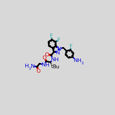 CC(C)(C)[C@H](NC(=O)c1nn(Cc2ccc(N)cc2F)c2c(F)c(F)ccc12)C(=O)NCC(N)=O